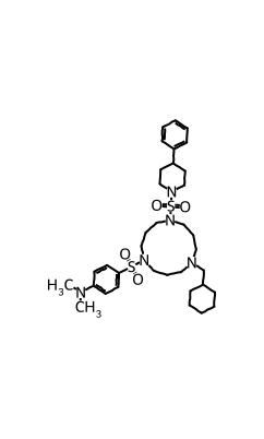 CN(C)c1ccc(S(=O)(=O)N2CCCN(CC3CCCCC3)CCCN(S(=O)(=O)N3CCC(c4ccccc4)CC3)CCC2)cc1